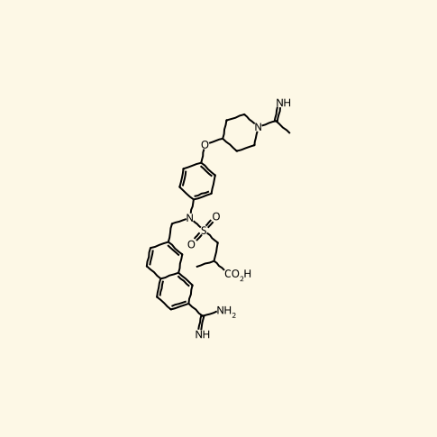 CC(=N)N1CCC(Oc2ccc(N(Cc3ccc4ccc(C(=N)N)cc4c3)S(=O)(=O)CC(C)C(=O)O)cc2)CC1